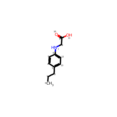 CCCc1ccc(NCC(=O)O)cc1